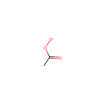 [CH2]C(=O)O[O]